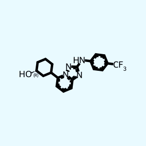 O[C@@H]1CCCC(c2cccc3nc(Nc4ccc(C(F)(F)F)cc4)nn23)C1